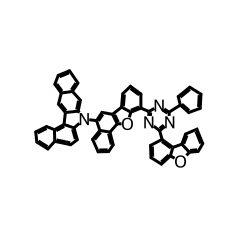 c1ccc(-c2nc(-c3cccc4c3oc3c5ccccc5c(-n5c6cc7ccccc7cc6c6c7ccccc7ccc65)cc43)nc(-c3cccc4oc5ccccc5c34)n2)cc1